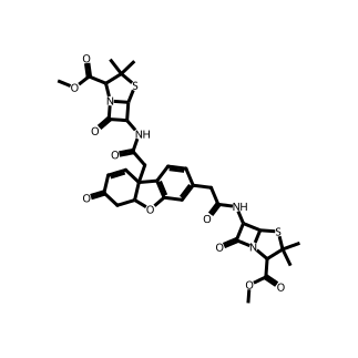 COC(=O)C1N2C(=O)C(NC(=O)Cc3ccc4c(c3)OC3CC(=O)C=CC43CC(=O)NC3C(=O)N4C3SC(C)(C)C4C(=O)OC)C2SC1(C)C